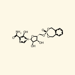 NC(=O)c1ncn([C@@H]2O[C@H](COP3(=O)OCc4ccccc4CO3)[C@@H](O)[C@H]2O)c1O